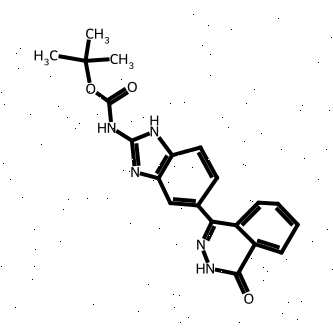 CC(C)(C)OC(=O)Nc1nc2cc(-c3n[nH]c(=O)c4ccccc34)ccc2[nH]1